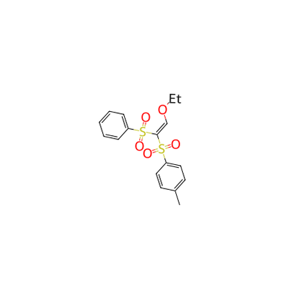 CCO/C=C(\S(=O)(=O)c1ccccc1)S(=O)(=O)c1ccc(C)cc1